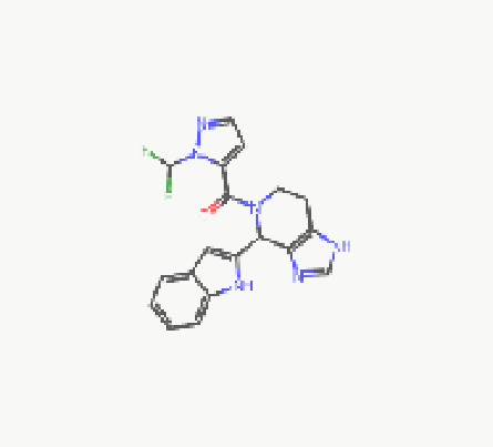 O=C(c1ccnn1C(F)F)N1CCc2[nH]cnc2[C@H]1c1cc2ccccc2[nH]1